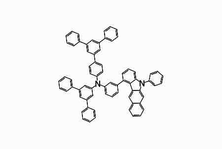 c1ccc(-c2cc(-c3ccccc3)cc(-c3ccc(N(c4cc(-c5ccccc5)cc(-c5ccccc5)c4)c4cccc(-c5cccc6c5c5cc7ccccc7cc5n6-c5ccccc5)c4)cc3)c2)cc1